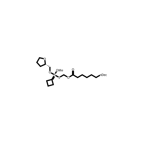 CCCCCCCCCCCCCCCC(=O)OCSP(OC)(OC[C@@H]1CCCO1)=C1CCC1